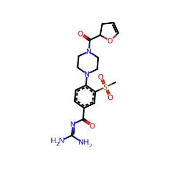 CS(=O)(=O)c1cc(C(=O)N=C(N)N)ccc1N1CCN(C(=O)C2CC=CO2)CC1